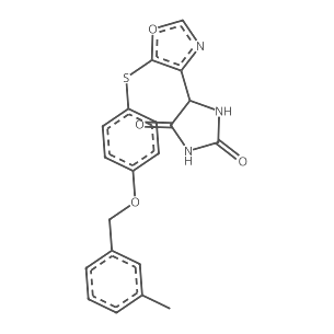 Cc1cccc(COc2ccc(Sc3ocnc3C3NC(=O)NC3=O)cc2)c1